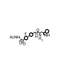 CC(=O)NC[C@H]1COC(=O)N1c1ccc(-c2ccc(CNC(=O)[C@H](N)Cc3c[nH]c4ccccc34)cc2)c(F)c1